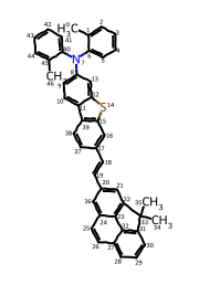 Cc1ccccc1N(c1ccc2c(c1)sc1cc(/C=C/c3cc4c5c(ccc6cccc(c65)C4(C)C)c3)ccc12)c1ccccc1C